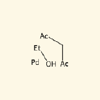 CC(=O)CC(C)=O.CCO.[Pd]